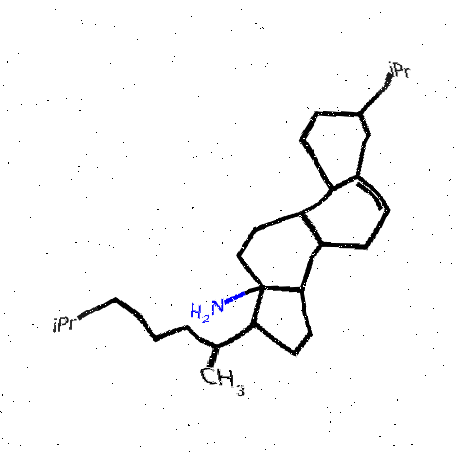 CC(C)CCCC(C)C1CCC2C3CC=C4CC(C(C)C)CCC4C3CCC12N